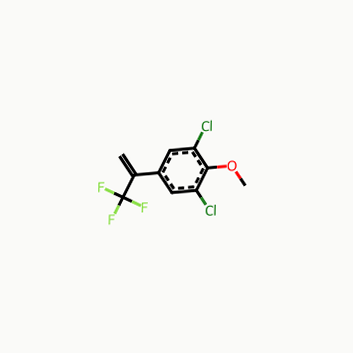 C=C(c1cc(Cl)c(OC)c(Cl)c1)C(F)(F)F